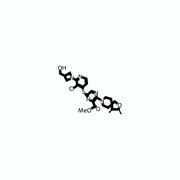 COC(=O)c1nc(Sc2ccnc(N3CC(CO)C3)c2Cl)cnc1N1CCC2(CC1)CO[C@@H](C)[C@H]2C